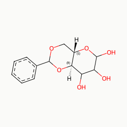 OC1O[C@H]2COC(c3ccccc3)O[C@@H]2C(O)C1O